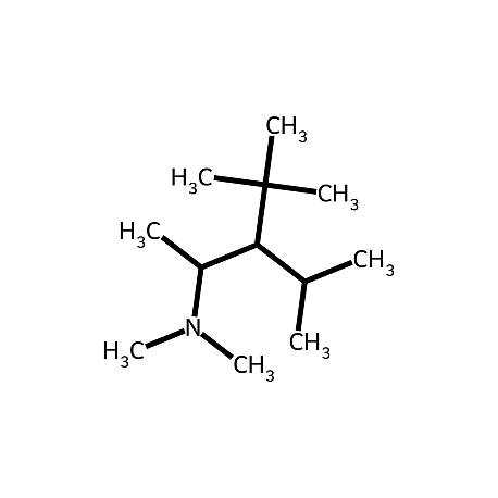 CC(C)C(C(C)N(C)C)C(C)(C)C